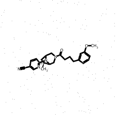 COc1cccc(CCCC(=O)N2CC3C[C@H](C)C(C2)N3c2ccc(C#N)cn2)c1